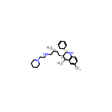 C[C@H](CC[C@@H]1[C@H](C)c2cc(C(F)(F)F)ccc2N[C@H]1C1C=CC=CC1)CNCCN1CCCCC1